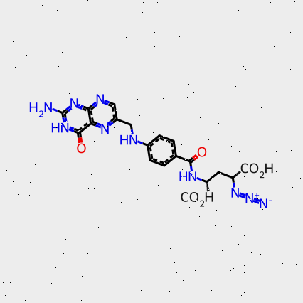 [N-]=[N+]=NC(C[C@H](NC(=O)c1ccc(NCc2cnc3nc(N)[nH]c(=O)c3n2)cc1)C(=O)O)C(=O)O